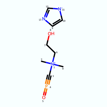 C[N+](C)(C#P=O)CCO.c1c[n-]cn1